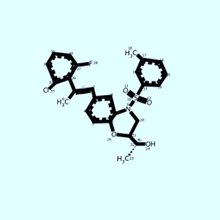 C/C(=C\c1ccc2c(c1)N(S(=O)(=O)c1cccc(C)c1)CC([C@@H](C)O)O2)c1c(F)cccc1Cl